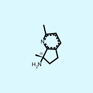 Cc1ccc2c(n1)[C@@](C)(N)CC2